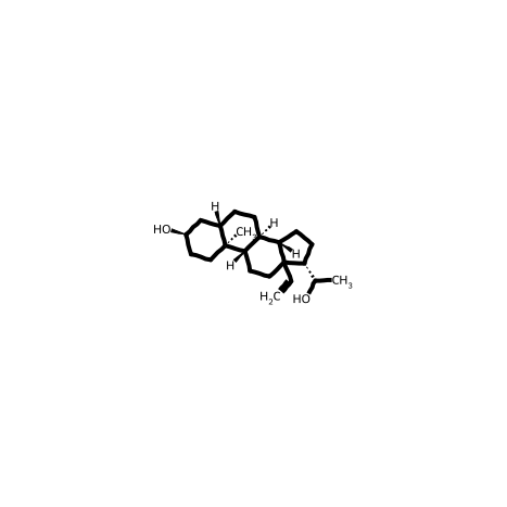 C=CC12CC[C@H]3[C@@H](CC[C@H]4C[C@H](O)CC[C@@]43C)[C@@H]1CC[C@@H]2C(C)O